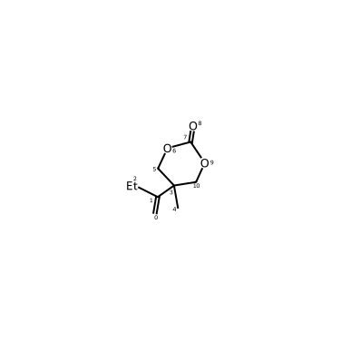 C=C(CC)C1(C)COC(=O)OC1